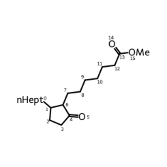 CCCCCCCC1CCC(=O)C1CCCCCCC(=O)OC